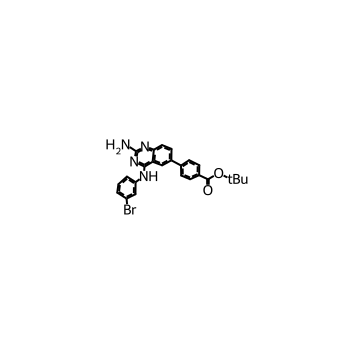 CC(C)(C)OC(=O)c1ccc(-c2ccc3nc(N)nc(Nc4cccc(Br)c4)c3c2)cc1